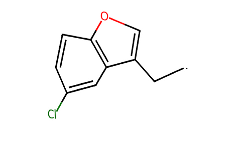 [CH2]Cc1coc2ccc(Cl)cc12